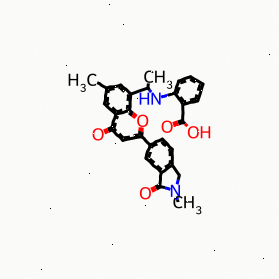 Cc1cc(C(C)Nc2ccccc2C(=O)O)c2oc(-c3ccc4c(c3)C(=O)N(C)C4)cc(=O)c2c1